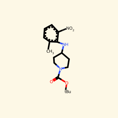 Cc1cccc([N+](=O)[O-])c1NC1CCN(C(=O)OC(C)(C)C)CC1